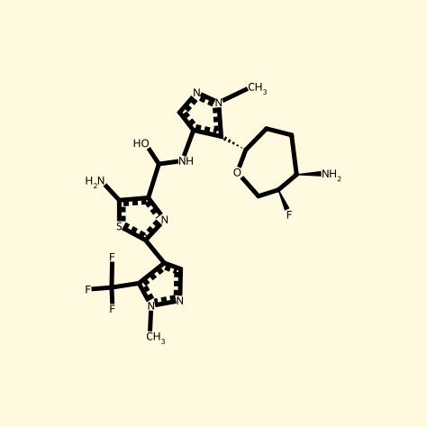 Cn1ncc(NC(O)c2nc(-c3cnn(C)c3C(F)(F)F)sc2N)c1[C@@H]1CC[C@@H](N)[C@@H](F)CO1